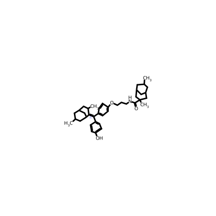 CC1CC2CC(C1)CC(C)(C(=O)NCCCOc1ccc(/C(=C3\C(C)CC4CC(C)CC3C4)c3ccc(O)cc3)cc1)C2